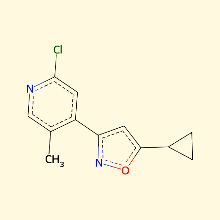 Cc1cnc(Cl)cc1-c1cc(C2CC2)on1